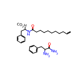 C=CCCCCCCCCC(=O)NC(Cc1ccccc1)C(=O)O.NC(=O)C(N)Cc1ccccc1